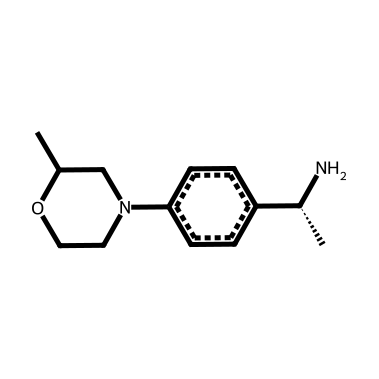 CC1CN(c2ccc([C@@H](C)N)cc2)CCO1